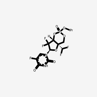 CC(C)OP1(=O)OC[C@@]2(C(F)F)O[C@@H](n3cc(F)c(=O)[nH]c3=O)C(F)(F)[C@@H]2O1